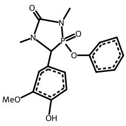 COc1cc(C2N(C)C(=O)N(C)P2(=O)Oc2ccccc2)ccc1O